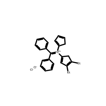 CCC1=C(CC)C[C]([Hf+2]([C]2=CC=CC2)=[C](c2ccccc2)c2ccccc2)=C1.[Cl-].[Cl-]